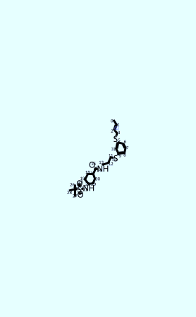 C/C=C/CSc1cccc(SCCCNC(=O)C2CCC(NS(=O)(=O)C(C)(C)C)CC2)c1